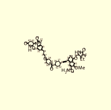 CC[C@@H]1[C@H](F)C(=O)N[C@@H]1COc1ncc(C#C[C@H]2CC[C@H](C(=O)N3CCC(OCCCc4ccc5c(c4)n(C)c(=O)n5C4CCC(=O)NC4=O)CC3)CC2)c2cc(C(N)=O)c(OC)cc12